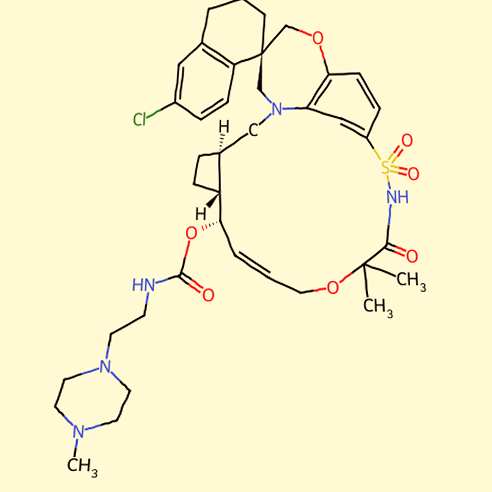 CN1CCN(CCNC(=O)O[C@H]2C=CCOC(C)(C)C(=O)NS(=O)(=O)c3ccc4c(c3)N(C[C@@H]3CC[C@H]32)C[C@@]2(CCCc3cc(Cl)ccc32)CO4)CC1